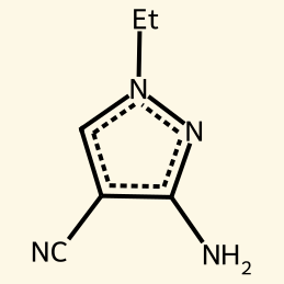 CCn1cc(C#N)c(N)n1